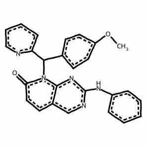 COc1ccc(C(c2ccccn2)n2c(=O)ccc3cnc(Nc4ccccc4)nc32)cc1